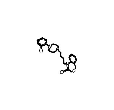 O=C1COCc2ccccc2N1CCCCN1CCN(c2ccccc2Cl)CC1